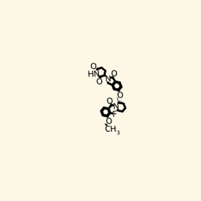 CCOc1cccc(C(=O)N2CCCC[C@H]2COc2ccc3c(c2)CN(C2CCC(=O)NC2=O)C3=O)c1F